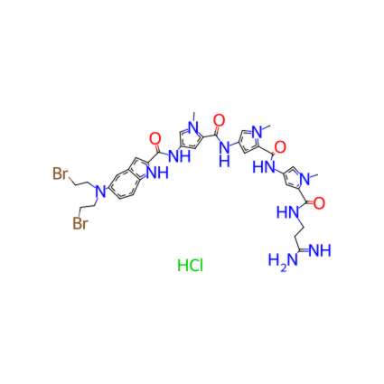 Cl.Cn1cc(NC(=O)c2cc(NC(=O)c3cc(NC(=O)c4cc5cc(N(CCBr)CCBr)ccc5[nH]4)cn3C)cn2C)cc1C(=O)NCCC(=N)N